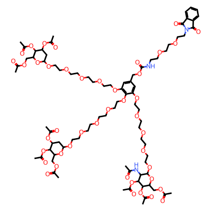 CC(=O)NC1C(OCCOCCOCCOCCOc2cc(COC(=O)NCCOCCOCCN3C(=O)c4ccccc4C3=O)cc(OCCOCCOCCOCCOC3CC(OC(C)=O)C(OC(C)=O)C(COC(C)=O)O3)c2OCCOCCOCCOCCOC2CC(OC(C)=O)C(OC(C)=O)C(COC(C)=O)O2)OC(COC(C)=O)C(OC(C)=O)C1OC(C)=O